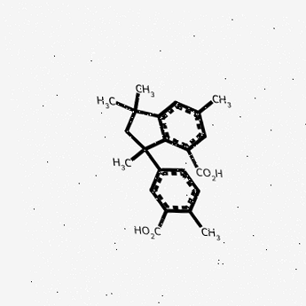 Cc1cc(C(=O)O)c2c(c1)C(C)(C)CC2(C)c1ccc(C)c(C(=O)O)c1